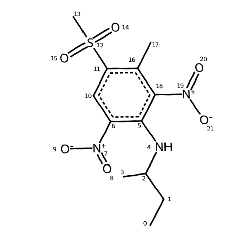 CCC(C)Nc1c([N+](=O)[O-])cc(S(C)(=O)=O)c(C)c1[N+](=O)[O-]